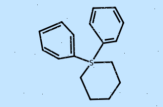 c1ccc(S2(c3ccccc3)CCCCC2)cc1